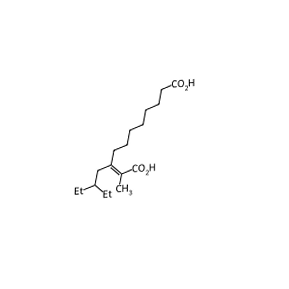 CCC(CC)CC(CCCCCCCC(=O)O)=C(C)C(=O)O